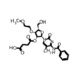 COCCO[C@H]1[C@@H](OC(=O)CCC(=O)O)[C@H](n2cc(C)c(NC(=O)c3ccccc3)nc2=O)O[C@@H]1CO